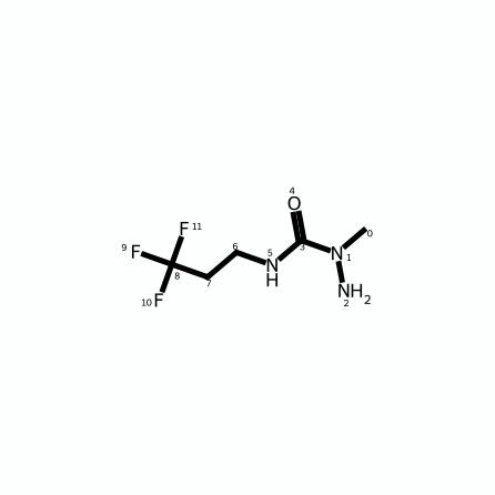 CN(N)C(=O)NCCC(F)(F)F